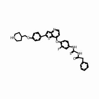 O=C(Cc1ccccc1)NC(=S)Nc1ccc(Oc2ccnc3cc(-c4ccc(OCC5CCNCC5)cc4)sc23)c(F)c1